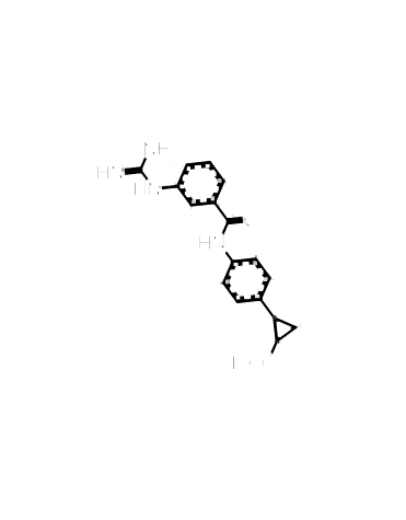 N=C(N)Nc1cccc(C(=O)Nc2ccc(C3CC3C(=O)O)cc2)c1